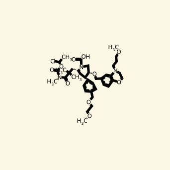 COCCCN1CCOc2ccc(CO[C@H]3CN(C(=O)O)[C@@H](CC(C)(C)C(=O)N(C)C(=O)OC(C)Cl)C[C@@H]3c3ccc(COCCOC)cc3)cc21